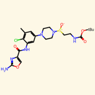 Cc1cc(N2CCN([S+]([O-])CCNC(=O)OC(C)(C)C)CC2)cc(NC(=O)c2coc(N)n2)c1Cl